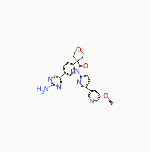 C#COc1cncc(-c2ccc(NC(=O)C3(c4ccc(-c5cnc(N)nc5)cc4)CCOCC3)nc2)c1